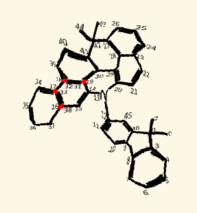 CC1(C)c2ccccc2-c2ccc(N(c3ccccc3)c3ccc4cccc5c4c3-c3cc(C4=CC=CCC4)ccc3C5(C)C)cc21